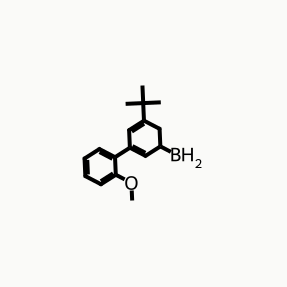 BC1C=C(c2ccccc2OC)C=C(C(C)(C)C)C1